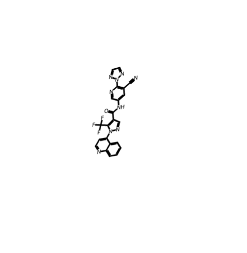 N#Cc1cc(NC(=O)c2cnn(-c3ccnc4ccccc34)c2C(F)(F)F)cnc1-n1nccn1